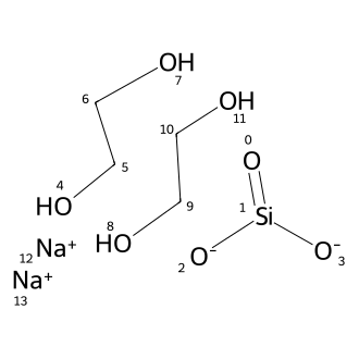 O=[Si]([O-])[O-].OCCO.OCCO.[Na+].[Na+]